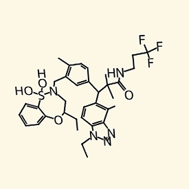 CCC1CN(Cc2cc(C(c3ccc4c(nnn4CC)c3C)C(C)(C)C(=O)NCCC(F)(F)F)ccc2C)S(O)(O)c2ccccc2O1